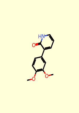 COc1ccc(-c2ccc[nH]c2=O)cc1OC